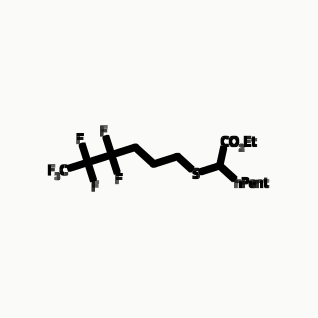 CCCCCC(SCCCC(F)(F)C(F)(F)C(F)(F)F)C(=O)OCC